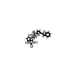 O=C1NC(=O)C2(CCCC2CNS(=O)(=O)c2ccc(-c3cc4ccccc4o3)s2)N1